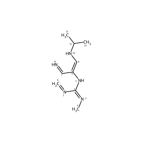 C=N/C(=N\C)N/C(C=N)=C/NC(C)C